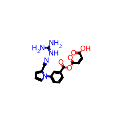 N#Cc1cccn1-c1cccc(C(=O)OC(=O)/C=C\C(=O)O)c1.N=C(N)N